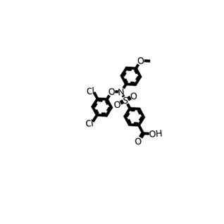 COc1ccc(N(Oc2ccc(Cl)cc2Cl)S(=O)(=O)c2ccc(C(=O)O)cc2)cc1